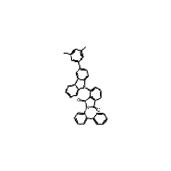 Cc1cc(C)cc(-c2ccc3c(c2)c2ccccc2n3-c2cccc3c2C(=O)N(c2ccccc2-c2ccccc2)C3=O)c1